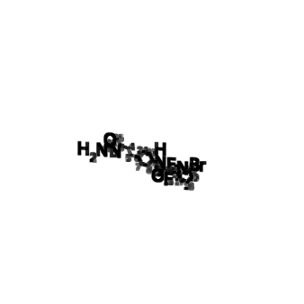 NC1=NC(CCc2ccc(NC(=O)C(F)(F)c3cccc(Br)n3)cc2)CO1